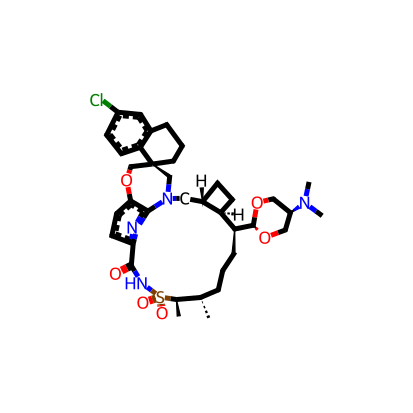 C[C@@H]1[C@@H](C)CCC[C@H]([C@H]2OC[C@H](N(C)C)CO2)[C@@H]2CC[C@H]2CN2C[C@@]3(CCCc4cc(Cl)ccc43)COc3ccc(nc32)C(=O)NS1(=O)=O